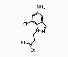 CCN(CC)CCn1ncc2cc(N)cc(Cl)c21